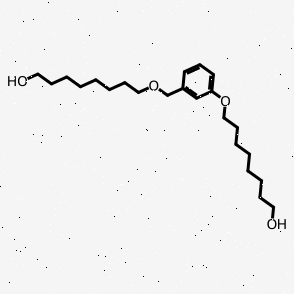 OCCCCCCCCOCc1cccc(OCCCCCCCCO)c1